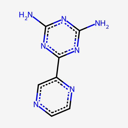 Nc1nc(N)nc(-c2cnccn2)n1